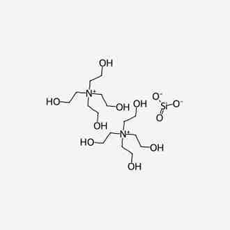 O=[Si]([O-])[O-].OCC[N+](CCO)(CCO)CCO.OCC[N+](CCO)(CCO)CCO